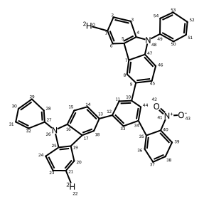 [2H]c1ccc2c(c1)c1cc(-c3cc(-c4ccc5c(c4)c4cc([2H])ccc4n5-c4ccccc4)cc(-c4ccccc4[N+](=O)[O-])c3)ccc1n2-c1ccccc1